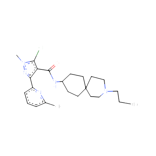 Cn1nc(-c2cccc(C(F)(F)F)n2)c(C(=O)NC2CCC3(CC2)CCN(CCC(C)(C)C)CC3)c1Cl